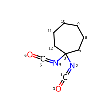 O=C=NC1(N=C=O)CCCCCC1